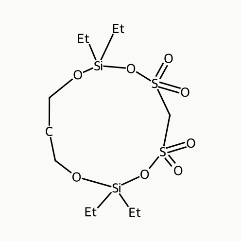 CC[Si]1(CC)OCCCO[Si](CC)(CC)OS(=O)(=O)CS(=O)(=O)O1